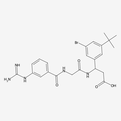 CC(C)(C)c1cc(Br)cc(C(CC(=O)O)NC(=O)CNC(=O)c2cccc(NC(=N)N)c2)c1